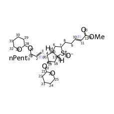 CCCCC[C@@H](/C=C/[C@@H]1[C@H]2CC(CC/C=C/C(=O)OC)[S+]([O-])[C@@H]2C[C@H]1OC1CCCCO1)OC1CCCCO1